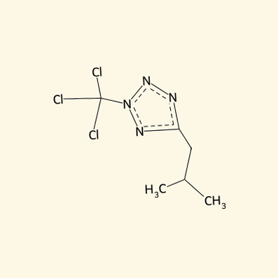 CC(C)Cc1nnn(C(Cl)(Cl)Cl)n1